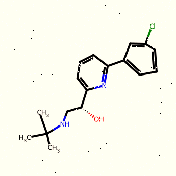 CC(C)(C)NC[C@@H](O)c1cccc(-c2cccc(Cl)c2)n1